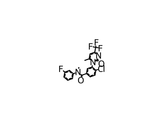 Cc1cc(C(F)(F)F)nc(=O)n1-c1cc(C(=O)N(C)c2cccc(F)c2)ccc1Cl